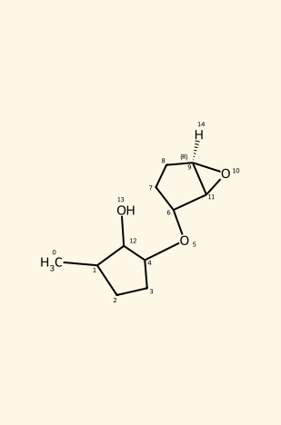 CC1CCC(OC2CC[C@H]3OC23)C1O